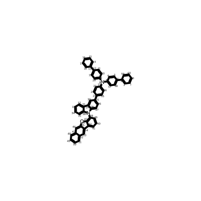 c1ccc(-c2ccc(N(c3ccc(-c4ccccc4)cc3)c3ccc(-c4ccc5c(c4)c4ccccc4n5-c4cccc5c4oc4cc6ccccc6cc45)cc3)cc2)cc1